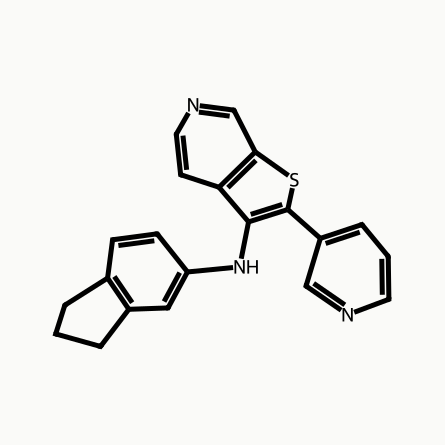 c1cncc(-c2sc3cnccc3c2Nc2ccc3c(c2)CCC3)c1